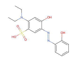 CCN(CC)c1cc(O)c(/N=N/c2ccccc2O)cc1S(=O)(=O)O